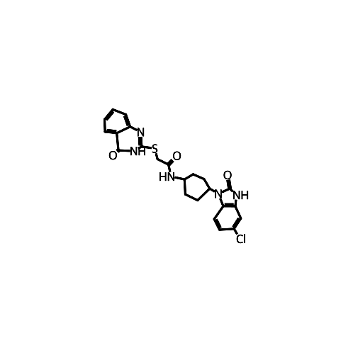 O=C(CSc1nc2ccccc2c(=O)[nH]1)NC1CCC(n2c(=O)[nH]c3cc(Cl)ccc32)CC1